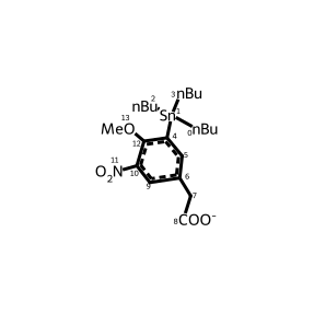 CCC[CH2][Sn]([CH2]CCC)([CH2]CCC)[c]1cc(CC(=O)[O-])cc([N+](=O)[O-])c1OC